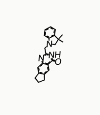 CC1(C)CN(Cc2nc3cc4c(cc3c(=O)[nH]2)CCC4)c2ccccc21